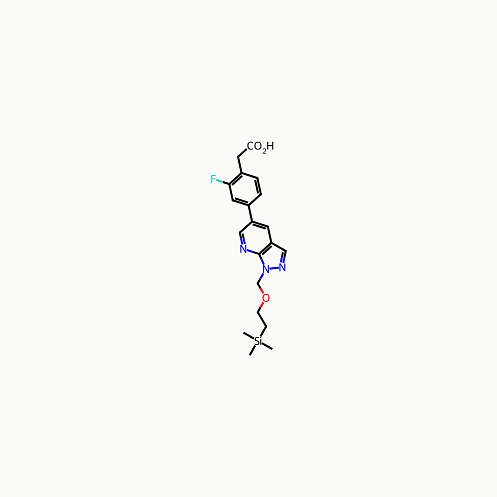 C[Si](C)(C)CCOCn1ncc2cc(-c3ccc(CC(=O)O)c(F)c3)cnc21